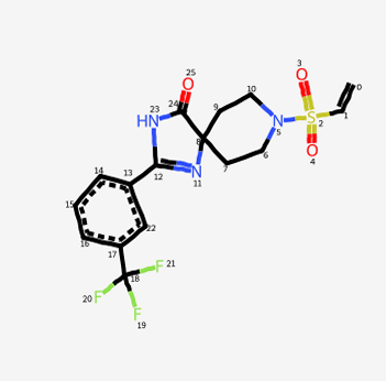 C=CS(=O)(=O)N1CCC2(CC1)N=C(c1cccc(C(F)(F)F)c1)NC2=O